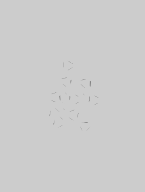 CCCCc1ccc(N(c2ccccc2)c2ccc3c(c2)N(c2ccc(-c4ccccc4)cc2C)c2cc(C)cc4c2B3N(c2ccc3c(c2)C(C)(C)c2ccccc2-3)c2c-4ccc3ccccc23)cc1